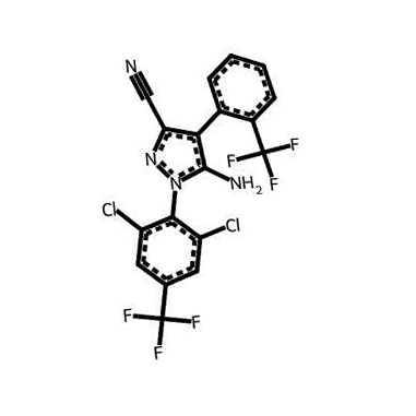 N#Cc1nn(-c2c(Cl)cc(C(F)(F)F)cc2Cl)c(N)c1-c1ccccc1C(F)(F)F